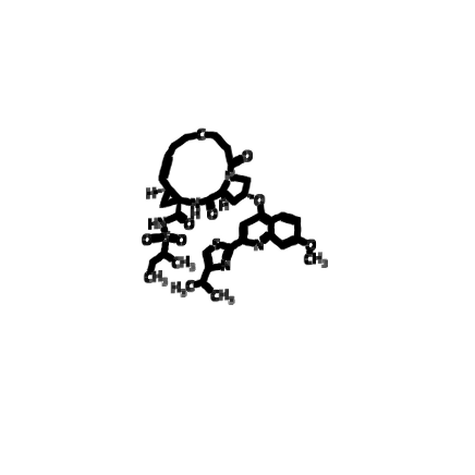 CCC(C)S(=O)(=O)NC(=O)[C@@]12C[C@H]1/C=C\CCCCCC(=O)N1C[C@H](Oc3cc(-c4nc(C(C)C)cs4)nc4cc(OC)ccc34)C[C@H]1C(=O)N2